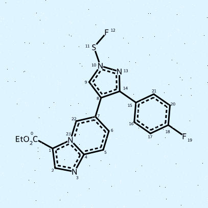 CCOC(=O)c1cnc2ccc(-c3cn(SF)nc3-c3ccc(F)cc3)cn12